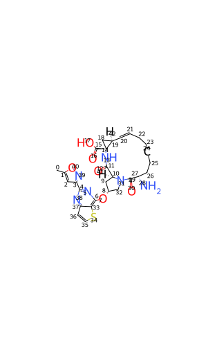 Cc1cc(-c2nc(O[C@@H]3C[C@H]4C(=O)N[C@]5(C(=O)O)C[C@H]5C=CCCCCC[C@H](N)C(=O)N4C3)c3sccc3n2)no1